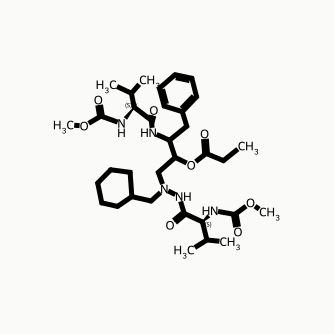 CCC(=O)OC(CN(CC1CCCCC1)NC(=O)[C@@H](NC(=O)OC)C(C)C)C(Cc1ccccc1)NC(=O)[C@@H](NC(=O)OC)C(C)C